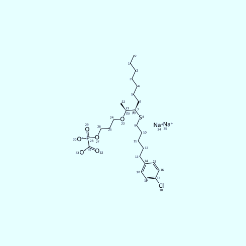 CCCCCCC[C@@H](SCCCCCc1ccc(Cl)cc1)[C@H](C)OCCCOP(=O)([O-])C(=O)[O-].[Na+].[Na+]